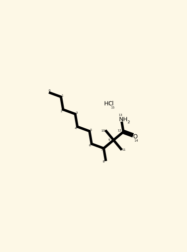 CCCCCCCC(C)C(C)(C)C(N)=O.Cl